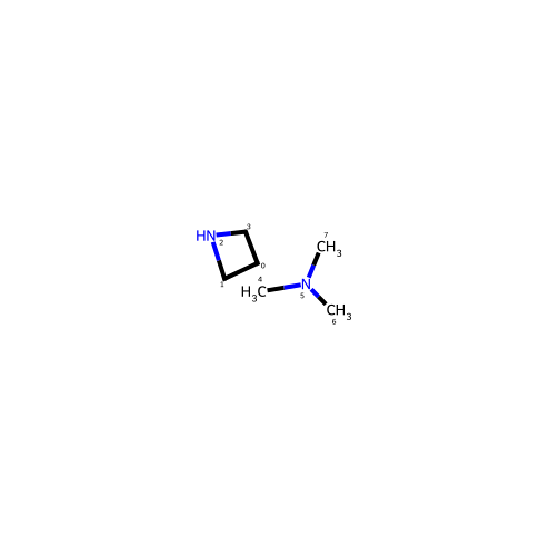 C1CNC1.CN(C)C